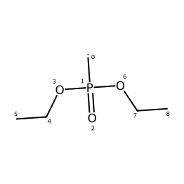 [CH2]P(=O)(OCC)OCC